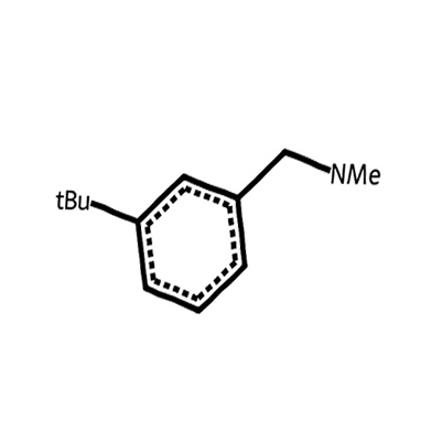 CNCc1cccc(C(C)(C)C)c1